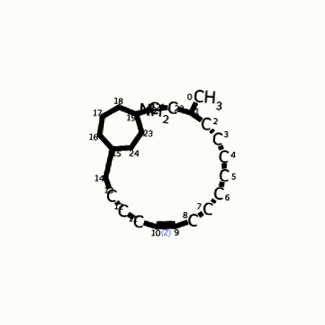 CC1CCCCCCC/C=C\CCCCC2CCCC(N)(CC1)CC2